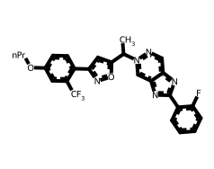 CCCOc1ccc(-c2cc(C(C)n3cc4nc(-c5ccccc5F)nc-4cn3)on2)c(C(F)(F)F)c1